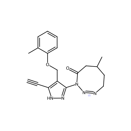 C#Cc1[nH]nc(N2/N=N\CCC(C)CC2=O)c1COc1ccccc1C